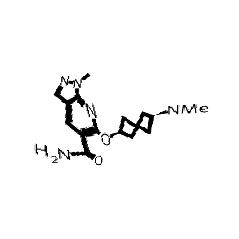 CN[C@H]1CC2(C1)C[C@H](Oc1nc3c(cnn3C)cc1C(N)=O)C2